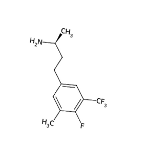 Cc1cc(CC[C@H](C)N)cc(C(F)(F)F)c1F